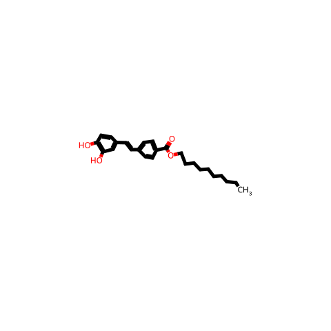 CCCCCCCCCCOC(=O)c1ccc(C=Cc2ccc(O)c(O)c2)cc1